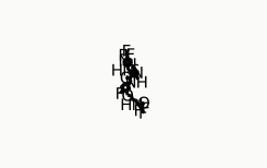 Cc1nsc(Nc2cnc(C(F)(F)F)cn2)c1C(=O)Nc1ccc(F)c(OCCCNC(=O)C(F)(F)F)c1